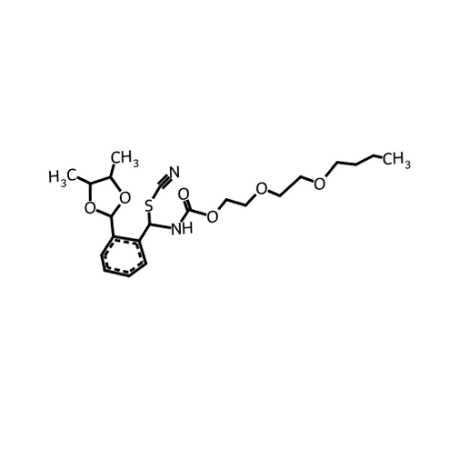 CCCCOCCOCCOC(=O)NC(SC#N)c1ccccc1C1OC(C)C(C)O1